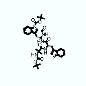 CC(C)(C)OC(=O)NC(C)(C)C(=O)N[C@H](Cc1csc2ccccc12)C(=O)N[C@H](Cc1cn(C(=O)OC(C)(C)C)c2ccccc12)NC=O